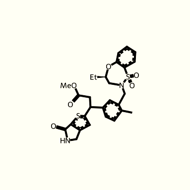 CC[C@@H]1CN(Cc2cc(C(CC(=O)OC)c3cc4c(s3)C(=O)NC4)ccc2C)S(=O)(=O)c2ccccc2O1